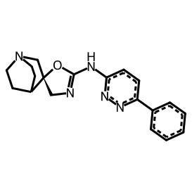 c1ccc(-c2ccc(NC3=NC[C@@]4(CN5CCC4CC5)O3)nn2)cc1